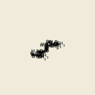 CC[C@H](O)[C@@H](C)[C@H]1O[C@@H]1CC(C)(O)/C=C/C=C(\C)[C@H]1OC(=O)C[C@H](O)CC[C@@](C)(O)[C@@H](OC(=O)N2CCN(C(=O)OCc3ccc(NC(=O)[C@H](CC(N)=O)NC(=O)[C@H](C)NC(=O)[C@H](C)NC(=O)CCCCCN4C(=O)C=CC4=O)cc3)CC2)/C=C/[C@@H]1C